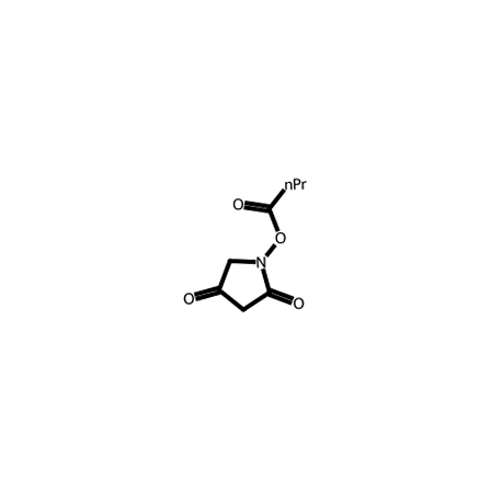 CCCC(=O)ON1CC(=O)CC1=O